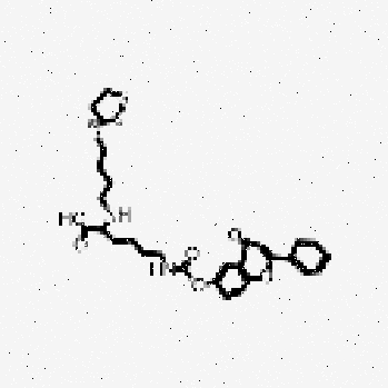 O=C(NCCCCC(NCCCCC[C@@H]1CCSS1)C(=O)O)Oc1ccc2oc(-c3ccccc3)cc(=O)c2c1